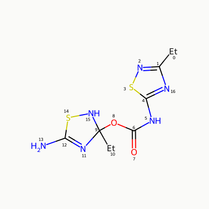 CCc1nsc(NC(=O)OC2(CC)N=C(N)SN2)n1